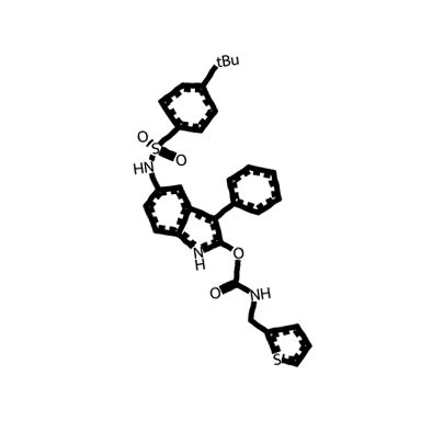 CC(C)(C)c1ccc(S(=O)(=O)Nc2ccc3[nH]c(OC(=O)NCc4cccs4)c(-c4ccccc4)c3c2)cc1